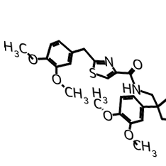 COc1ccc(Cc2nc(C(=O)NCC3(c4ccc(OC)c(OC)c4)CCCC3)cs2)cc1OC